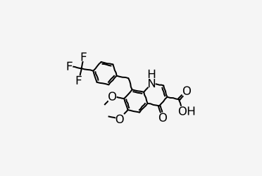 COc1cc2c(=O)c(C(=O)O)c[nH]c2c(Cc2ccc(C(F)(F)F)cc2)c1OC